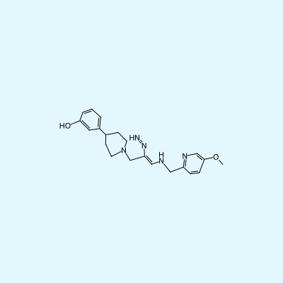 COc1ccc(CN/C=C(/CN2CCC(c3cccc(O)c3)CC2)N=N)nc1